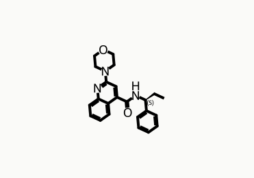 CC[C@H](NC(=O)c1cc(N2CCOCC2)nc2ccccc12)c1ccccc1